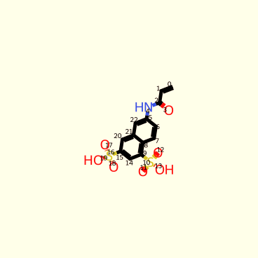 C=CC(=O)Nc1ccc2c(S(=O)(=O)O)cc(S(=O)(=O)O)cc2c1